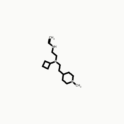 C=CNCCN(CCC1CCN(C)CC1)C1CCC1